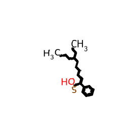 CCCCC(CCC)CCCCCC(C(O)=S)c1ccccc1